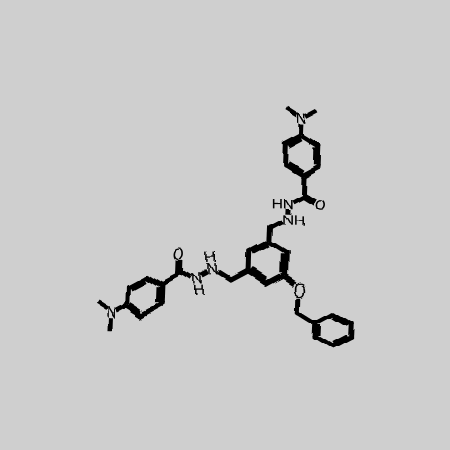 CN(C)c1ccc(C(=O)NNCc2cc(CNNC(=O)c3ccc(N(C)C)cc3)cc(OCc3ccccc3)c2)cc1